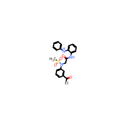 CCC(=O)c1cccc(N(CC(=O)Nc2ccccc2Nc2ccccc2)S(C)(=O)=O)c1